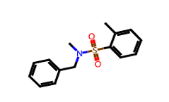 Cc1ccccc1S(=O)(=O)N(C)Cc1ccccc1